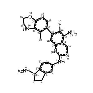 CC(=O)N[C@@H]1CCc2cc(Nc3ncc4c(N)c(F)c(-c5cnc6c(c5C)NCCO6)cc4n3)ccc21